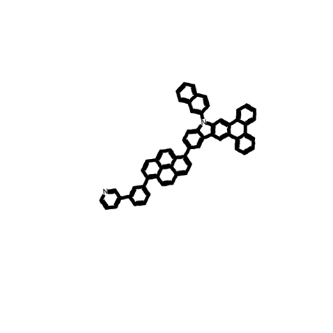 c1cncc(-c2cccc(-c3ccc4ccc5c(-c6ccc7c(c6)c6cc8c9ccccc9c9ccccc9c8cc6n7-c6ccc7ccccc7c6)ccc6ccc3c4c65)c2)c1